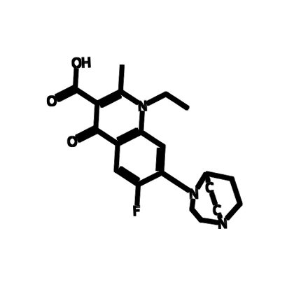 CCn1c(C)c(C(=O)O)c(=O)c2cc(F)c(N3CCN4CCC3CC4)cc21